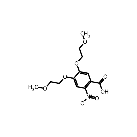 COCCOc1cc(C(=O)O)c([N+](=O)[O-])cc1OCCOC